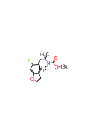 CC(Cc1cc2ccoc2cc1F)N(C)C(=O)OC(C)(C)C